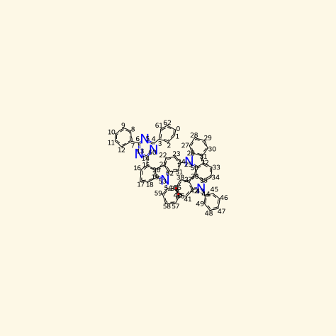 c1ccc(-c2nc(-c3ccccc3)nc(-c3cccc4c3c3ccc(-n5c6ccccc6c6ccc7c(c8ccccc8n7-c7ccccc7)c65)cc3n4-c3ccccc3)n2)cc1